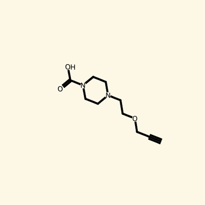 C#CCOCCN1CCN(C(=O)O)CC1